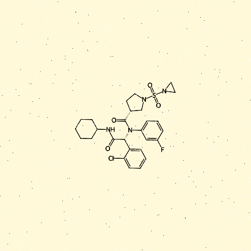 O=C(NC1CCCCC1)[C@@H](c1ccccc1Cl)N(C(=O)[C@@H]1CCN(S(=O)(=O)N2CC2)C1)c1cccc(F)c1